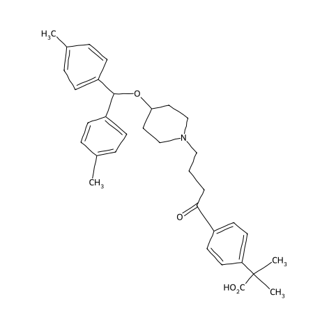 Cc1ccc(C(OC2CCN(CCCC(=O)c3ccc(C(C)(C)C(=O)O)cc3)CC2)c2ccc(C)cc2)cc1